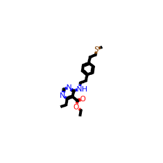 CCOC(=O)c1c(CC)ncnc1NCCc1ccc(CCSC)cc1